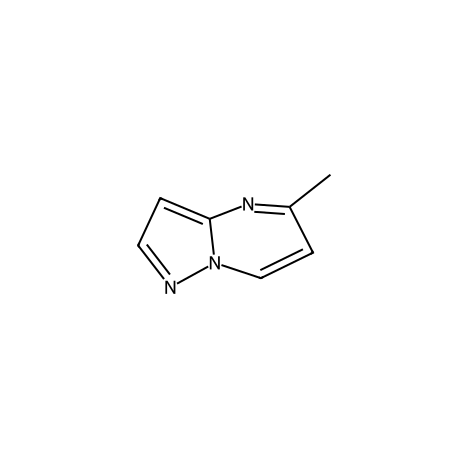 Cc1ccn2nccc2n1